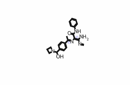 C=N/C(N)=C(\N=C(/C)c1ccc(C(O)N2CCC2)cc1)C(=O)Nc1ccccc1